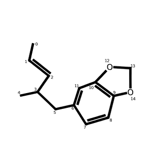 CC=CC(C)Cc1ccc2c(c1)OCO2